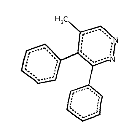 Cc1cnnc(-c2ccccc2)c1-c1ccccc1